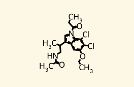 CCOc1cc2c(C(C)CNC(C)=O)cn(C(=O)CC)c2c(Cl)c1Cl